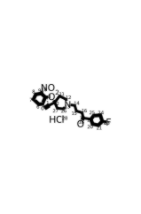 C#CC1(Oc2ccccc2[N+](=O)[O-])CCN(CCCC(=O)c2ccc(F)cc2)CC1.Cl